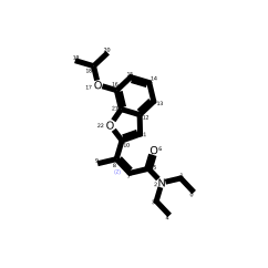 CCN(CC)C(=O)/C=C(/C)c1cc2cccc(OC(C)C)c2o1